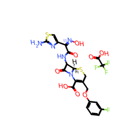 Nc1nc(/C(=N/O)C(=O)NC2C(=O)N3C(C(=O)O)=C(COc4cccc(F)c4)CS[C@H]23)cs1.O=C(O)C(F)(F)F